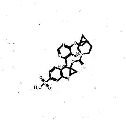 Cc1c(Cc2ccc(S(C)(=O)=O)cc2F)ncnc1OCC12CCN(C(=O)OC3(C)CC3)CC1C2